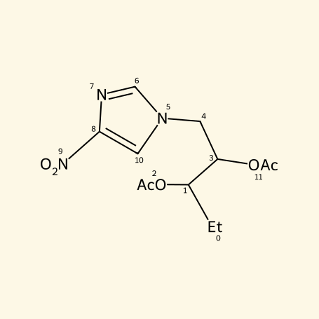 CCC(OC(C)=O)C(Cn1cnc([N+](=O)[O-])c1)OC(C)=O